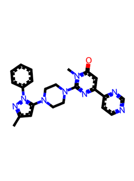 Cc1cc(N2CCN(c3nc(-c4ccncn4)cc(=O)n3C)CC2)n(-c2ccccc2)n1